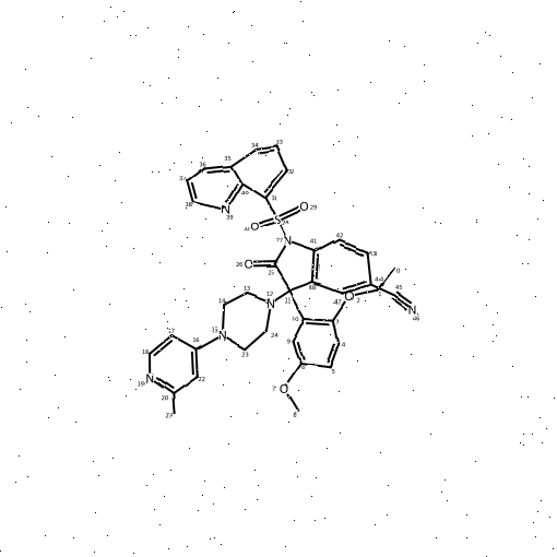 CCOc1ccc(OC)cc1C1(N2CCN(c3ccnc(C)c3)CC2)C(=O)N(S(=O)(=O)c2cccc3cccnc23)c2ccc(C#N)cc21